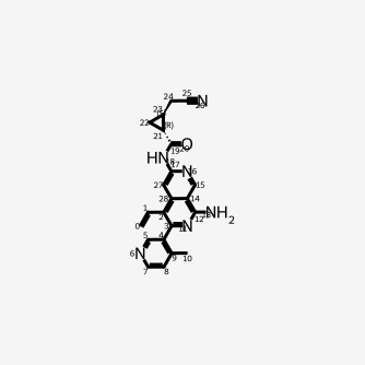 C=Cc1c(-c2cnccc2C)nc(N)c2cnc(NC(=O)[C@@H]3C[C@H]3CC#N)cc12